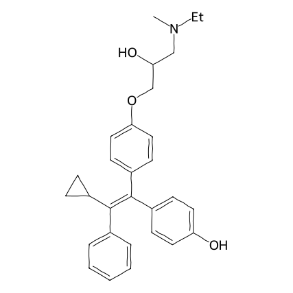 CCN(C)CC(O)COc1ccc(C(=C(c2ccccc2)C2CC2)c2ccc(O)cc2)cc1